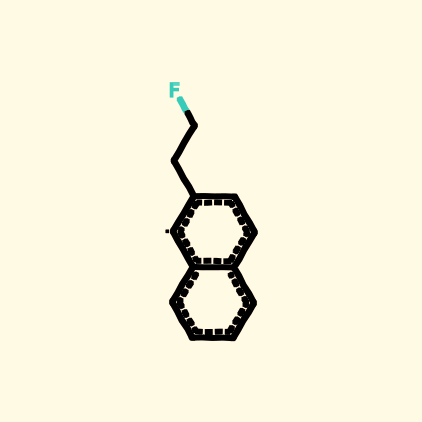 FCCc1[c]c2ccccc2cc1